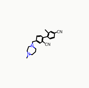 Cc1cc(C#N)ccc1-c1ccc(CN2CCCN(C)CC2)cc1C#N